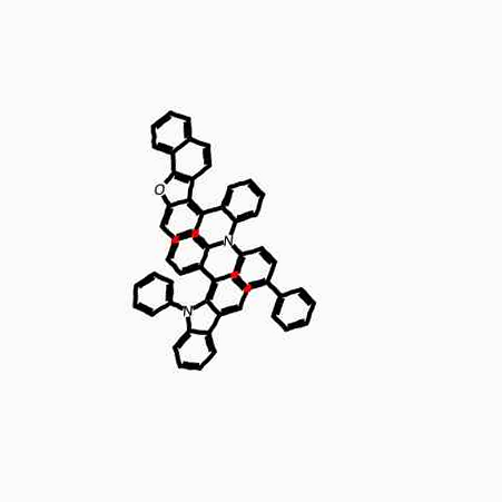 c1ccc(-c2ccc(N(c3ccccc3-c3cccc4oc5c6ccccc6ccc5c34)c3ccccc3-c3cccc4c5ccccc5n(-c5ccccc5)c34)cc2)cc1